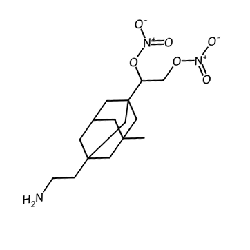 CC12CC3CC(CCN)(C1)CC(C(CO[N+](=O)[O-])O[N+](=O)[O-])(C3)C2